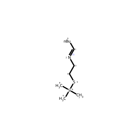 CCCC/C=N/CCS[Si](C)(C)C